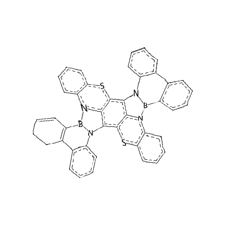 C1=CC2=C(CC1)c1ccccc1N1B2n2c3ccccc3sc3c4c5c(sc6ccccc6n5B5c6ccccc6-c6ccccc6N54)c1c32